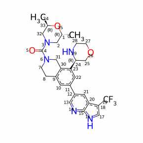 C[C@@H]1CN(C(=O)N2CCc3cc(-c4cnc5[nH]cc(C(F)(F)F)c5c4)cc([C@@H]4COCCN4)c3C2)C[C@@H](C)O1